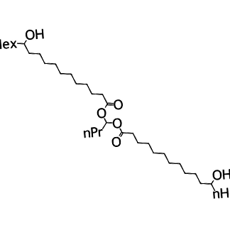 CCCCCCC(O)CCCCCCCCCCC(=O)OC(CCC)OC(=O)CCCCCCCCCCC(O)CCCCCC